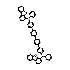 C1=CC2Oc3c(cccc3N(c3ccc(C4=CCC(c5ccc(-c6ccc(N(c7ccccc7)c7cccc8c7oc7ccccc78)cc6)cc5)C=C4)cc3)C3CC=CCC3)C2C=C1